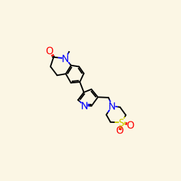 CN1C(=O)CCc2cc(-c3cncc(CN4CCS(=O)(=O)CC4)c3)ccc21